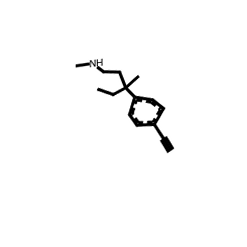 C#Cc1ccc(C(C)(CC)CCNC)cc1